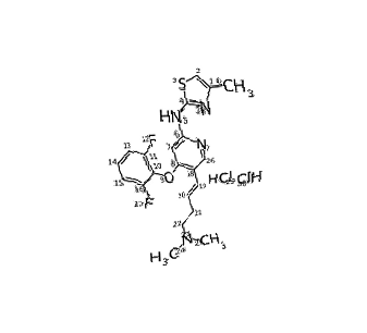 Cc1csc(Nc2cc(Oc3c(F)cccc3F)c(/C=C/CCN(C)C)cn2)n1.Cl.Cl